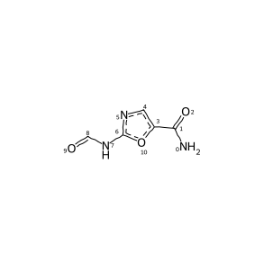 NC(=O)c1cnc(NC=O)o1